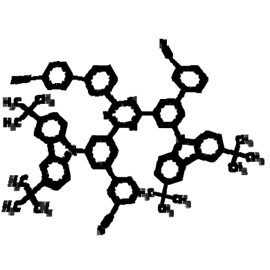 CC(C)(C)c1ccc2c(c1)c1cc(C(C)(C)C)ccc1n2-c1cc(-c2cccc(C#N)c2)cc(-c2nc(-c3cccc(-c4ccc(C#N)cc4)c3)nc(-c3cc(-c4cccc(C#N)c4)cc(-n4c5ccc(C(C)(C)C)cc5c5cc(C(C)(C)C)ccc54)c3)n2)c1